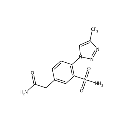 NC(=O)Cc1ccc(-n2cc(C(F)(F)F)nn2)c(S(N)(=O)=O)c1